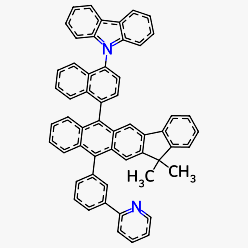 CC1(C)c2ccccc2-c2cc3c(-c4ccc(-n5c6ccccc6c6ccccc65)c5ccccc45)c4ccccc4c(-c4cccc(-c5ccccn5)c4)c3cc21